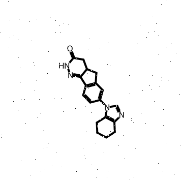 O=C1CC2Cc3cc(-n4cnc5c4CCCC5)ccc3C2=NN1